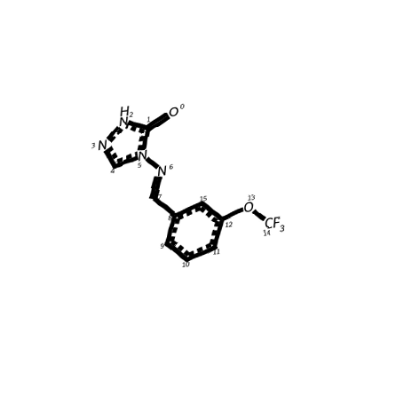 O=c1[nH]ncn1/N=C/c1cccc(OC(F)(F)F)c1